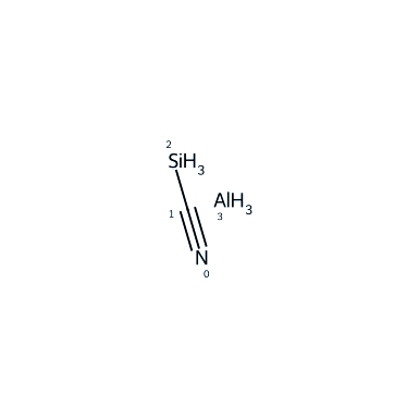 N#C[SiH3].[AlH3]